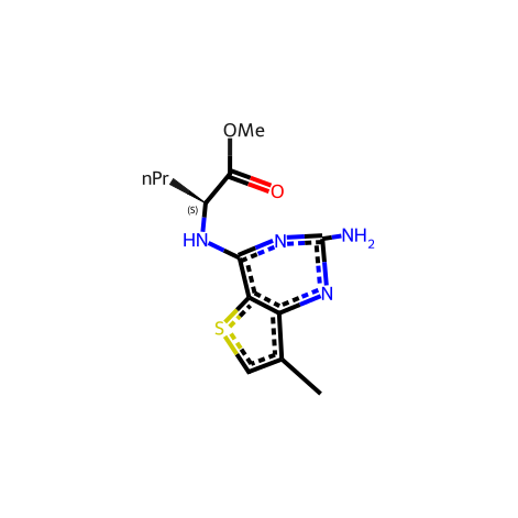 CCC[C@H](Nc1nc(N)nc2c(C)csc12)C(=O)OC